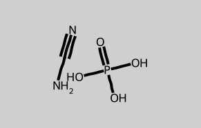 N#CN.O=P(O)(O)O